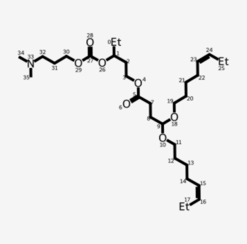 [CH2]CC(CCOC(=O)CCC(OCCCC/C=C\CC)OCCCC/C=C\CC)OC(=O)OCCCN(C)C